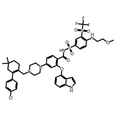 COCCNc1ccc(S(=O)(=O)NC(=O)c2ccc(N3CCN(CC4=C(c5ccc(Cl)cc5)CC(C)(C)CC4)CC3)cc2Oc2cccc3[nH]ccc23)cc1S(=O)(=O)C(F)(F)F